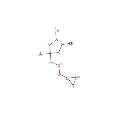 CCCC(CCC#N)(CCC#N)COCC1CO1